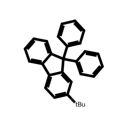 CC(C)(C)c1ccc2c(c1)C(c1ccccc1)(c1ccccc1)c1ccccc1-2